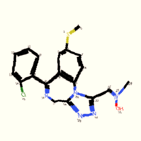 CSc1ccc2c(c1)C(c1ccccc1Cl)=NCc1nnc(CN(C)O)n1-2